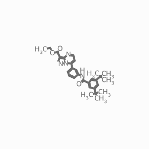 CCOC(=O)c1cnn2c(-c3cccc(NC(=O)c4cc(C(C)(C)C)cc(C(C)(C)C)c4)c3)ccnc12